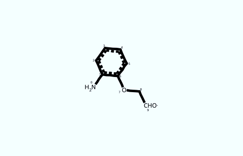 Nc1ccccc1OC[C]=O